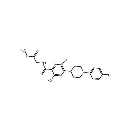 COC(=O)CNC(=O)c1nc(Cl)c(C2CCN(c3ccc(Cl)cc3)CC2)cc1O